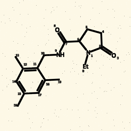 CCN1C(=O)CCC1C(=O)NCc1c(C)cc(C)cc1C